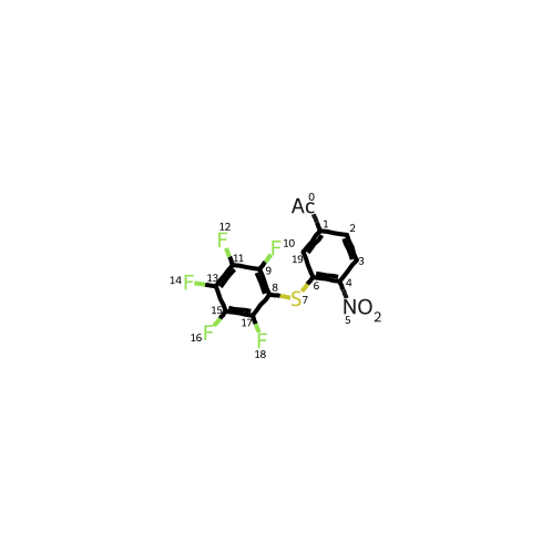 CC(=O)c1ccc([N+](=O)[O-])c(Sc2c(F)c(F)c(F)c(F)c2F)c1